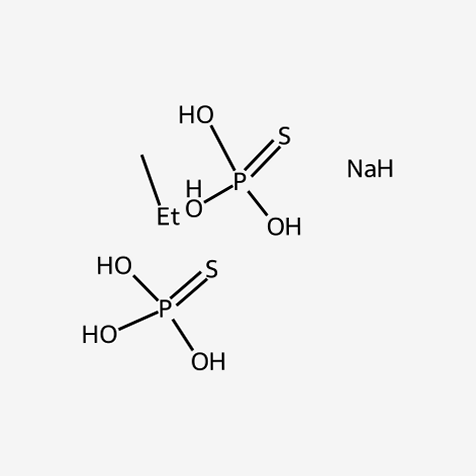 CCC.OP(O)(O)=S.OP(O)(O)=S.[NaH]